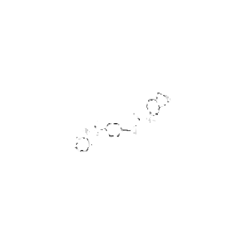 O=C(Nc1ccc2cnsc2c1)[C@@H]1CC1c1ccc(S(=O)(=O)Nc2ncccn2)cc1